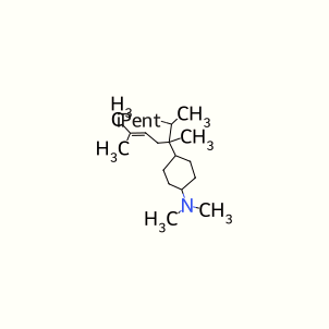 CCCC(C)C(C)C(C)(CC=C(C)C)C1CCC(N(C)C)CC1